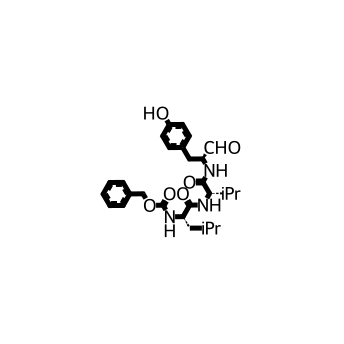 CC(C)C[C@H](NC(=O)OCc1ccccc1)C(=O)N[C@H](C(=O)N[C@H](C=O)Cc1ccc(O)cc1)C(C)C